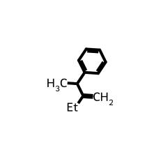 C=C(CC)C(C)c1ccccc1